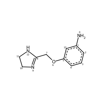 Nc1cccc(OCC2=NCCN2)c1